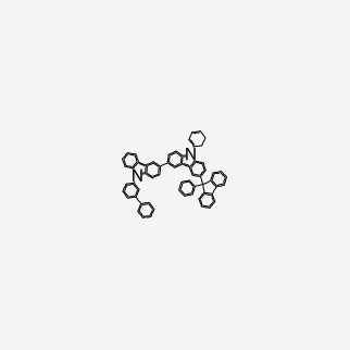 C1=CCCC(n2c3ccc(-c4ccc5c(c4)c4ccccc4n5-c4cccc(-c5ccccc5)c4)cc3c3cc(C4(c5ccccc5)c5ccccc5-c5ccccc54)ccc32)=C1